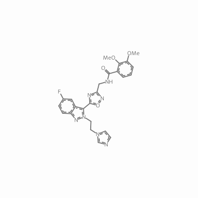 COc1cccc(C(=O)NCc2noc(-c3c4cc(F)ccc4nn3CCn3ccnc3)n2)c1OC